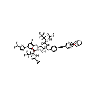 COC(=O)N[C@H](C(=O)N[C@@H](Cc1ccc(C#Cc2cnc(N3CC4CCC(C3)N4C3COC3)nc2)cc1)[C@@H](O)CN(Cc1c(F)cc(-c2ccn(C(F)F)n2)cc1F)NC(=O)[C@@H](NC(=O)C1CC1)C(C)(C)C(F)(F)F)C(C)(C)C(F)(F)F